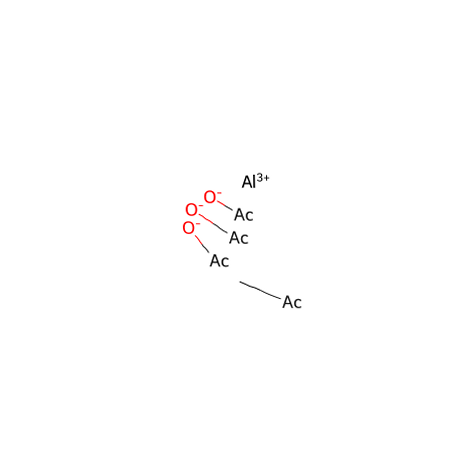 CC(=O)[O-].CC(=O)[O-].CC(=O)[O-].CC(C)=O.[Al+3]